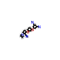 N#Cc1cc(C#N)cc(Oc2cccc(Oc3cccc(-n4cccc4)c3C#N)c2)c1